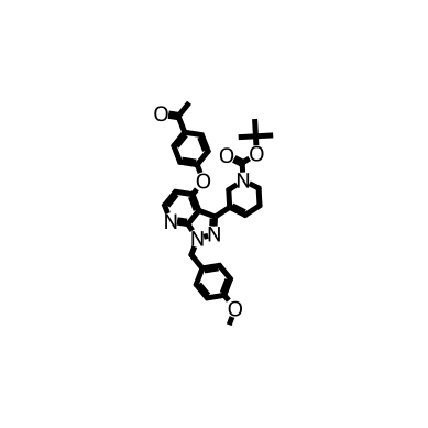 COc1ccc(Cn2nc(C3=CCCN(C(=O)OC(C)(C)C)C3)c3c(Oc4ccc(C(C)=O)cc4)ccnc32)cc1